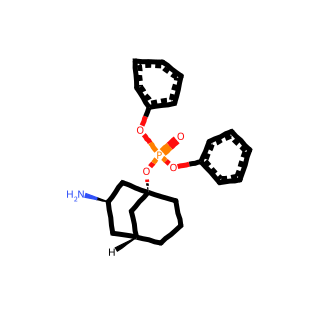 N[C@@H]1C[C@H]2CCC[C@](OP(=O)(Oc3ccccc3)Oc3ccccc3)(C1)C2